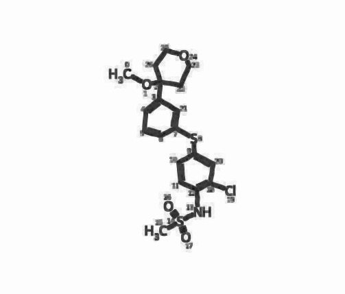 COC1(c2cccc(Sc3ccc(NS(C)(=O)=O)c(Cl)c3)c2)CCOCC1